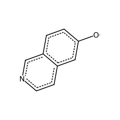 [O]c1ccc2cnccc2c1